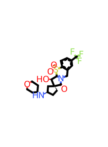 O=C1N2Cc3cc(C(F)(F)F)ccc3S(=O)(=O)C2[C@H](O)[C@@]12CC[C@@H](NC1CCOCC1)C2